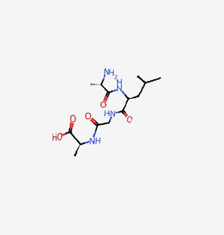 CC(C)C[C@H](NC(=O)[C@H](C)N)C(=O)NCC(=O)N[C@@H](C)C(=O)O